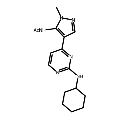 CC(=O)Nc1c(-c2ccnc(NC3CCCCC3)n2)cnn1C